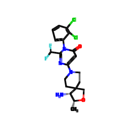 C[C@H]1OCC2(CCN(c3cc(=O)n(-c4cccc(Cl)c4Cl)c(C(F)F)n3)CC2)[C@H]1N